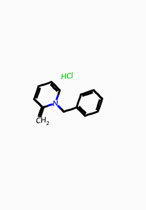 C=C1C=CC=CN1Cc1ccccc1.Cl